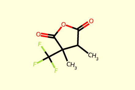 CC1C(=O)OC(=O)C1(C)C(F)(F)F